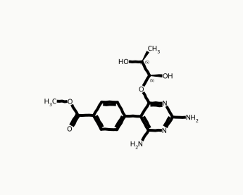 COC(=O)c1ccc(-c2c(N)nc(N)nc2O[C@H](O)[C@H](C)O)cc1